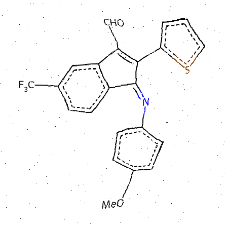 COc1ccc(N=C2C(c3cccs3)=C(C=O)c3cc(C(F)(F)F)ccc32)cc1